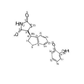 O=C1NC(=O)C([C@@H]2CCc3cc(Oc4ccccc4O)ccc32)S1